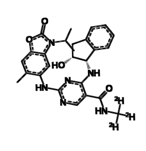 [2H]C([2H])([2H])NC(=O)c1cnc(Nc2cc3c(cc2C)oc(=O)n3C(C)C)nc1N[C@H]1c2ccccc2C[C@H]1O